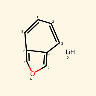 [LiH].c1ccc2cocc2c1